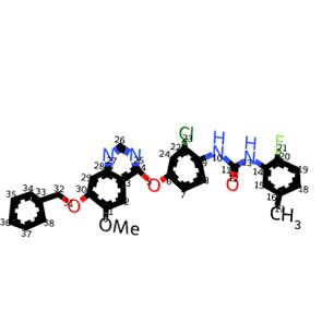 COc1cc2c(Oc3ccc(NC(=O)Nc4cc(C)ccc4F)c(Cl)c3)ncnc2cc1OCc1ccccc1